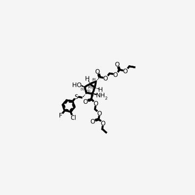 CCOC(=O)OCOC(=O)[C@H]1[C@@H]2[C@H](O)[C@@H](CSc3ccc(F)c(Cl)c3)[C@@](N)(C(=O)OCOC(=O)OCC)[C@H]12